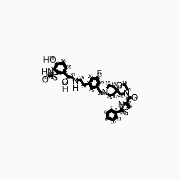 O=C(c1csc(-c2ccccc2)n1)N1CCOC2(CCN(Cc3cc(F)cc(CCNC[C@H](O)c4ccc(O)c5[nH]c(=O)sc45)c3)CC2)C1